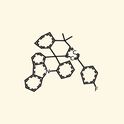 CC1(C)c2ccccc2C2(c3ccccc3-n3c4ccccc4c4cccc2c43)c2cc(-c3ccc(F)cc3)ccc21